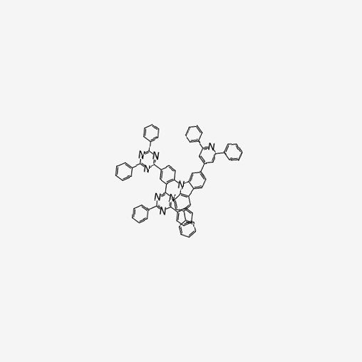 c1ccc(-c2ccc3c(c2)c2ccc(-c4cc(-c5ccccc5)nc(-c5ccccc5)c4)cc2n3-c2ccc(-c3nc(-c4ccccc4)nc(-c4ccccc4)n3)cc2-c2nc(-c3ccccc3)nc(-c3ccccc3)n2)cc1